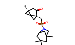 CC1(C)CC2CC(C)(CN2S(=O)(=O)C[C@]23CC24C[C@H]4CC3=O)C1